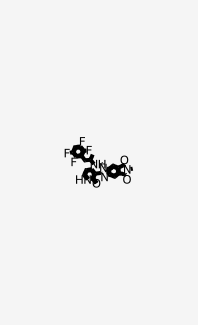 CC(Cc1c(F)c(F)cc(F)c1F)Nc1cc[nH]c(=O)c1-c1nc2cc3c(cc2n1C)C(=O)N(C)C3=O